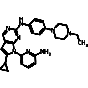 CCN1CCN(c2ccc(Nc3ncc4cc(C5CC5)n(-c5cccc(N)n5)c4n3)cc2)CC1